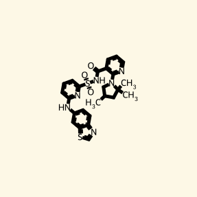 CC1CN(c2ncccc2C(=O)NS(=O)(=O)c2cccc(Nc3ccc4ncsc4c3)n2)C(C)(C)C1